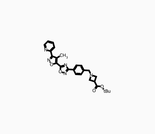 Cc1c(-c2ccccn2)noc1-c1nc(-c2ccc(CN3CC(C(=O)OC(C)(C)C)C3)cc2)no1